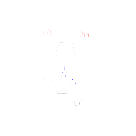 Cc1cc(C(F)(F)F)nn1C1CC(O)C(O)C1